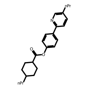 CCCc1ccc(-c2ccc(OC(=O)C3CCC(CCC)CC3)cc2)nc1